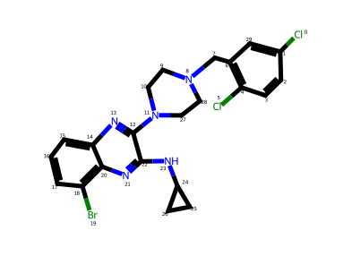 Clc1ccc(Cl)c(CN2CCN(c3nc4cccc(Br)c4nc3NC3CC3)CC2)c1